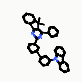 CC1(C)c2ccccc2-c2nc(-c3cccc(-c4cccc(-n5c6ccccc6c6ccccc65)c4)c3)nc(-c3ccccc3)c21